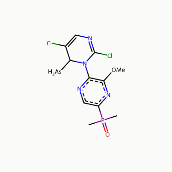 COc1nc(P(C)(C)=O)cnc1N1C(Cl)=NC=C(Cl)C1[AsH2]